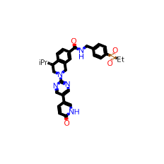 CCS(=O)(=O)c1ccc(CNC(=O)c2ccc3c(c2)CN(c2ncc(-c4ccc(=O)[nH]c4)cn2)CC3C(C)C)cc1